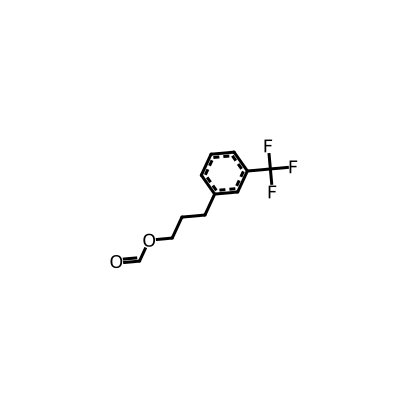 O=COCCCc1cccc(C(F)(F)F)c1